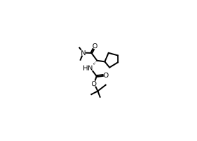 CN(C)C(=O)[C@@H](NC(=O)OC(C)(C)C)C1CCCC1